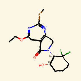 CCOc1nc(SC)nc2c1C(=O)N([C@H]1[C@@H](O)CCCC1(F)F)C2